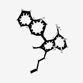 C=CCCc1c(C)c(-c2cnc3ccccc3c2)c2c(N)ncnn12